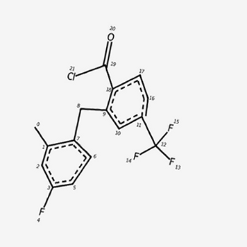 Cc1cc(F)ccc1Cc1cc(C(F)(F)F)ccc1C(=O)Cl